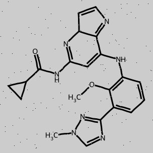 COc1c(NC2=CC(NC(=O)C3CC3)=NC3C=CN=C23)cccc1-c1ncn(C)n1